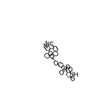 N#Cc1ccc2c(c1-c1cnccc1OC1(OCCOc3ccc4c(c3)C(=O)N(C3CCC(=O)NC3=O)C4=O)CCCCC1)CCCC2